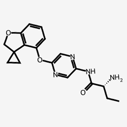 CC[C@@H](N)C(=O)Nc1cnc(Oc2cccc3c2C2(CC2)CO3)cn1